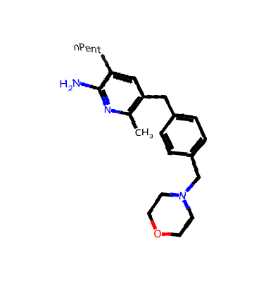 CCCCCc1cc(Cc2ccc(CN3CCOCC3)cc2)c(C)nc1N